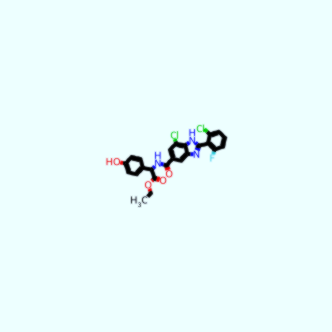 CCOC(=O)C(NC(=O)c1cc(Cl)c2[nH]c(-c3c(F)cccc3Cl)nc2c1)c1ccc(O)cc1